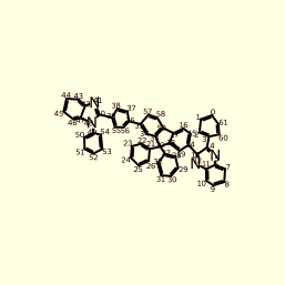 c1ccc(-c2nc3ccccc3nc2-c2ccc3c(c2)C(c2ccccc2)(c2ccccc2)c2cc(-c4ccc(-c5nc6ccccc6n5-c5ccccc5)cc4)ccc2-3)cc1